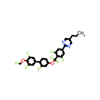 CCCc1cnc(-c2cc(F)c(C(F)(F)Oc3ccc(-c4cc(F)c(OCF)c(F)c4)c(F)c3)c(F)c2)nc1